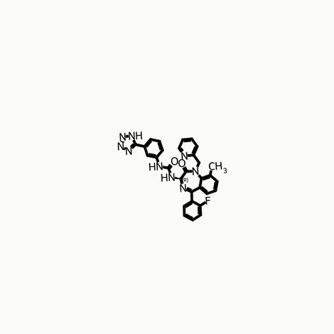 Cc1cccc2c1N(Cc1ccccn1)C(=O)[C@H](NC(=O)Nc1cccc(-c3nnn[nH]3)c1)N=C2c1ccccc1F